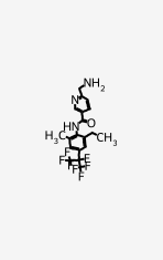 CCc1cc(C(F)(C(F)(F)F)C(F)(F)F)cc(C)c1NC(=O)c1ccc(CN)nc1